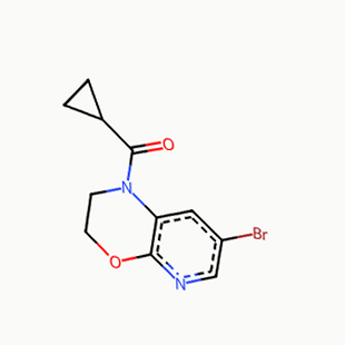 O=C(C1CC1)N1CCOc2ncc(Br)cc21